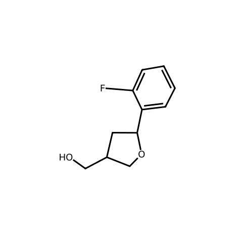 OCC1COC(c2ccccc2F)C1